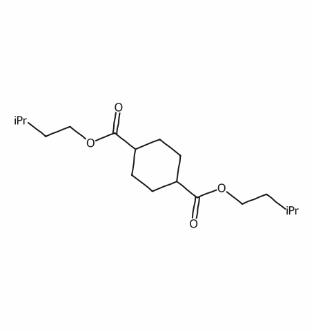 CC(C)CCOC(=O)C1CCC(C(=O)OCCC(C)C)CC1